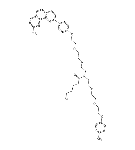 CC(=O)CCCCC(=O)N(CCOCCOCCOc1ccc(C)cc1)CCOCCOCCOc1ccc(-c2ccc3ccc4ccc(C)nc4c3n2)cc1